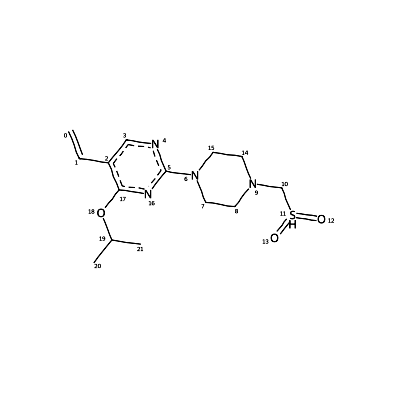 C=Cc1cnc(N2CCN(C[SH](=O)=O)CC2)nc1OC(C)C